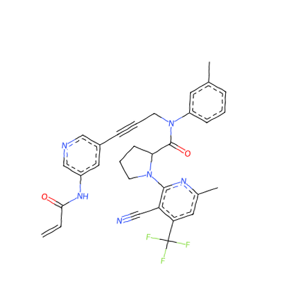 C=CC(=O)Nc1cncc(C#CCN(C(=O)C2CCCN2c2nc(C)cc(C(F)(F)F)c2C#N)c2cccc(C)c2)c1